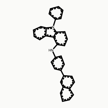 c1ccc(-n2c3ccccc3c3c(Nc4ccc(-c5ccc6ccccc6c5)cc4)cccc32)cc1